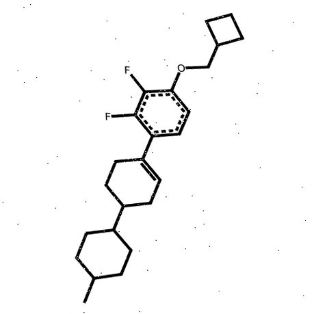 CC1CCC(C2CC=C(c3ccc(OCC4CCC4)c(F)c3F)CC2)CC1